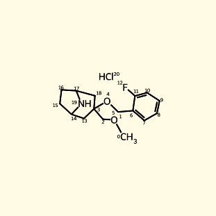 COCC1(OCc2ccccc2F)CC2CCC(C1)N2.Cl